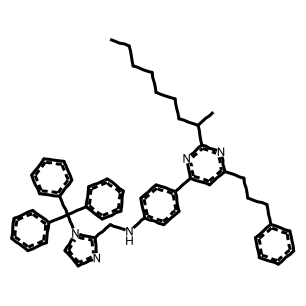 CCCCCCCC(C)c1nc(CCCc2ccccc2)cc(-c2ccc(NCc3nccn3C(c3ccccc3)(c3ccccc3)c3ccccc3)cc2)n1